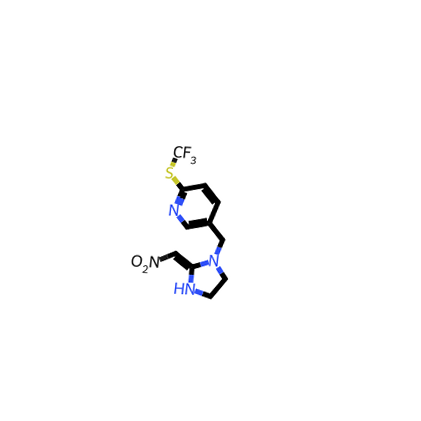 O=[N+]([O-])C=C1NCCN1Cc1ccc(SC(F)(F)F)nc1